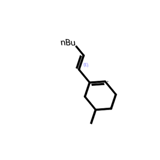 CCCC/C=C/C1=[C]CCC(C)C1